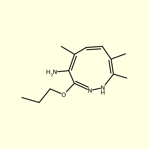 CCCOc1n[nH]c(C)c(C)ccc(C)c1N